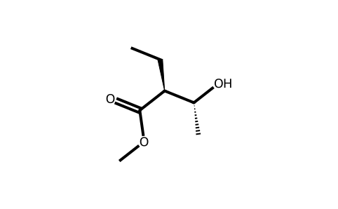 CC[C@H](C(=O)OC)[C@@H](C)O